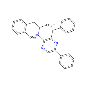 CCOC(=O)C(Cc1ccccc1OC)Nc1ncc(-c2ccccc2)nc1Cc1ccccc1